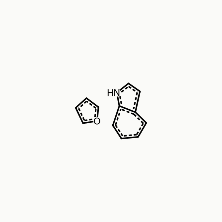 c1ccc2[nH]ccc2c1.c1ccoc1